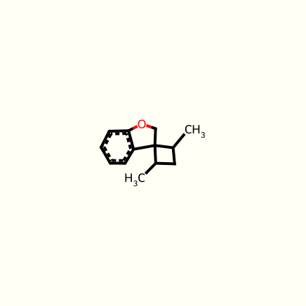 CC1CC(C)C12COc1ccccc12